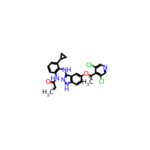 C=CC(=O)Nc1cccc(C2CC2)c1Nc1n[nH]c2ccc(O[C@H](C)c3c(Cl)cncc3Cl)cc12